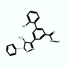 CC(C)NC(=O)c1cc(C2=NO[C@H](c3ccccc3)[C@H]2C)cc(-c2ccccc2C#N)c1